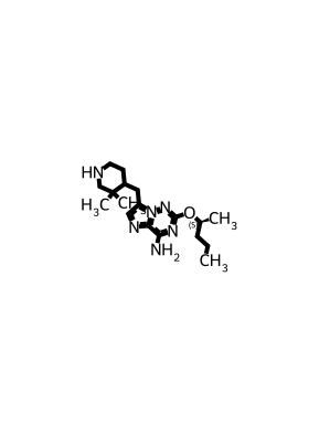 CCC[C@H](C)Oc1nc(N)c2ncc(CC3CCNCC3(C)C)n2n1